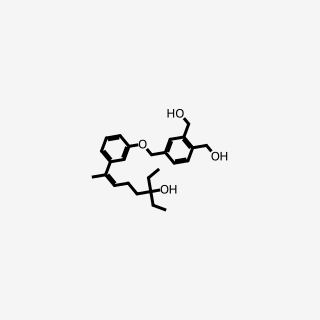 CCC(O)(CC)CC/C=C(/C)c1cccc(OCc2ccc(CO)c(CO)c2)c1